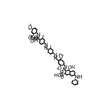 COc1ccc(N=Nc2ccc(N=Nc3ccc(N=Nc4cc(OC)c(N=Nc5c(S(=O)(=O)O)cc6cc(Nc7ccccc7)ccc6c5O)cc4OC)cc3C)cc2C)c(S(=O)(=O)O)c1